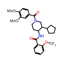 COc1ccc(C(=O)N2CCC(NC(=O)c3ccccc3OC(F)(F)F)C(C3CCCC3)C2)cc1OC